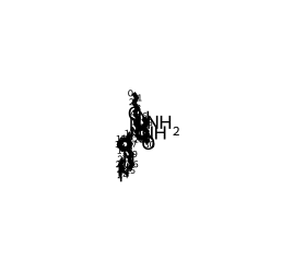 CCCCOc1nc(N)c2c(n1)N(Cc1cccc(CN3CCN(I)CC3)c1)CC(=O)N2